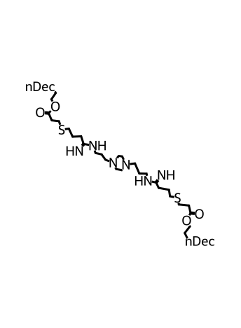 CCCCCCCCCCCCOC(=O)CCSCCCC(=N)NCCCN1CCN(CCCNC(=N)CCCSCCC(=O)OCCCCCCCCCCCC)CC1